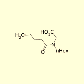 C=CCCC(=O)N(CCCCCC)CC(=O)O